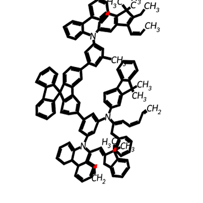 C=C/C=C\C=C(/Cc1ccccc1)N(c1cc(-c2ccc3c(c2)-c2cc(-c4cc(C)cc(N(c5ccc6c(c5)C(/C=C\C)=C(CC)C6(C)C)c5ccccc5-c5ccccc5)c4)ccc2C32c3ccccc3-c3ccccc32)cc(N(C2=CC=CCC2C2C=CC=CC2)C(=C/C=C)/C=C2\Cc3ccccc3C2(C)C)c1)c1ccc2c(c1)C(C)(C)c1ccccc1-2